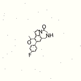 CC(=O)c1c(-c2ccc(F)cc2)cc2c3c1ccn3C(=O)CNC2